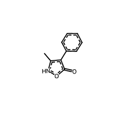 Cc1[nH]oc(=O)c1-c1ccccc1